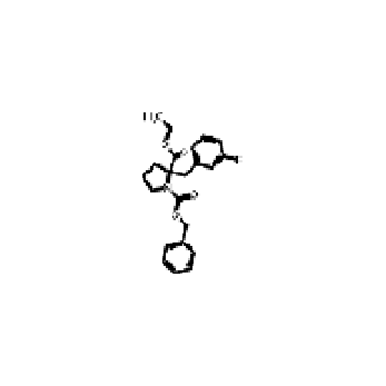 CCOC(=O)C1(Cc2cccc(F)c2)CCCN1C(=O)OCc1ccccc1